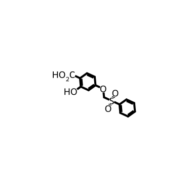 O=C(O)c1ccc(OCS(=O)(=O)c2ccccc2)cc1O